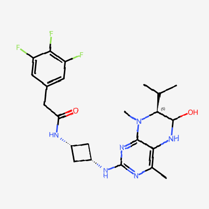 Cc1nc(N[C@H]2C[C@@H](NC(=O)Cc3cc(F)c(F)c(F)c3)C2)nc2c1NC(O)[C@H](C(C)C)N2C